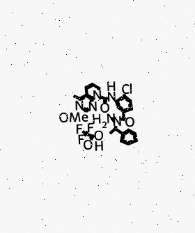 COc1nc(C)c2c(n1)N(C(=O)Nc1cc(C(=O)N(N)C(C)c3ccccc3)ccc1Cl)CC=C2.O=C(O)C(F)(F)F